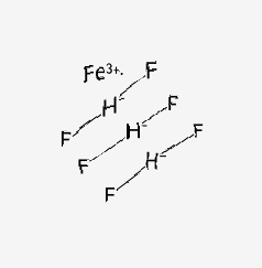 F[H-]F.F[H-]F.F[H-]F.[Fe+3]